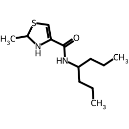 CCCC(CCC)NC(=O)C1=CSC(C)N1